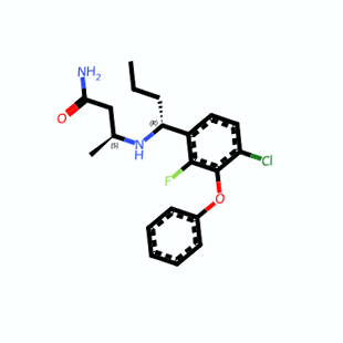 CCC[C@@H](N[C@@H](C)CC(N)=O)c1ccc(Cl)c(Oc2ccccc2)c1F